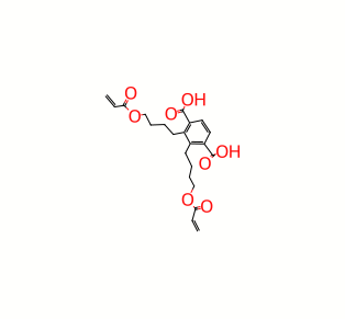 C=CC(=O)OCCCCc1c(C(=O)O)ccc(C(=O)O)c1CCCCOC(=O)C=C